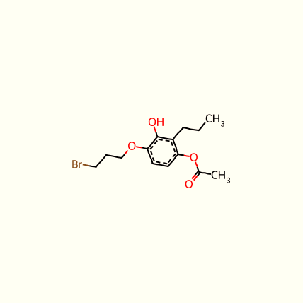 CCCc1c(OC(C)=O)ccc(OCCCBr)c1O